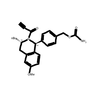 C#CC(=O)N1[C@@H](CCCC)Cc2cc(OC)ccc2[C@@H]1c1ccc(COC(N)=O)cc1